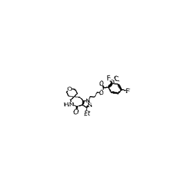 CCc1nn(CCCOC(=O)c2ccc(F)cc2C(F)(F)F)c2c1C(=O)NCC1(CCOCC1)C2